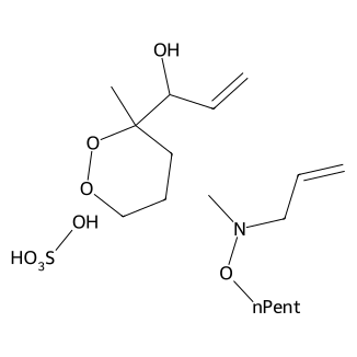 C=CC(O)C1(C)CCCOO1.C=CCN(C)OCCCCC.O=S(=O)(O)O